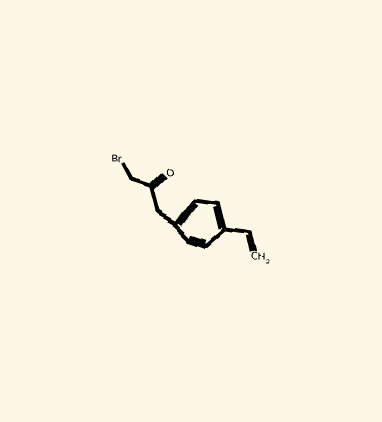 C=Cc1ccc(CC(=O)CBr)cc1